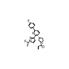 C=CC(=O)N1CC[C@@H](c2ccc(-c3ccc(F)cc3)nc2-c2ccn(C(F)F)n2)C1